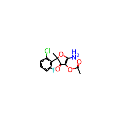 CC(=O)OC1=C(N)OC(C)(c2c(F)cccc2Cl)C1=O